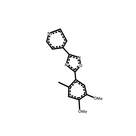 COc1cc(C)c(-c2nc(-c3ccncc3)no2)cc1OC